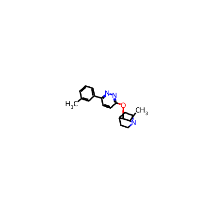 Cc1cccc(-c2ccc(OC3C4CCN(CC4)C3C)nn2)c1